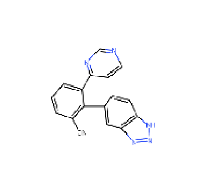 N#Cc1cccc(-c2ccncn2)c1-c1ccc2[nH]nnc2c1